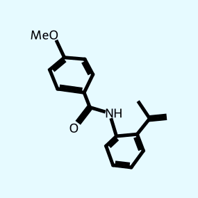 C=C(C)c1ccccc1NC(=O)c1ccc(OC)cc1